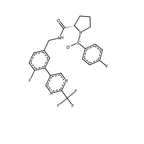 O=C(NCc1ccc(F)c(-c2cnc(C(F)(F)F)nc2)c1)[C@@H]1CCCN1[S+]([O-])c1ccc(F)cc1